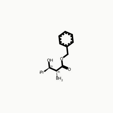 B[C@@H](C(=O)OCc1ccccc1)[C@H](O)C(C)C